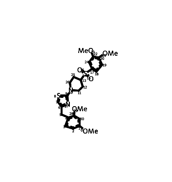 COc1ccc(Cc2csc(N3CCC(S(=O)(=O)c4ccc(OC)c(OC)c4)CC3)n2)c(OC)c1